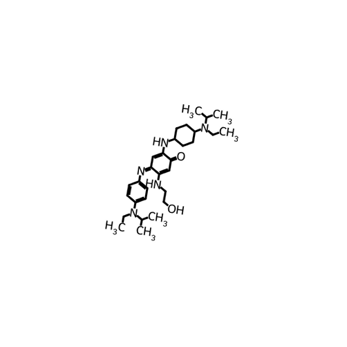 CCN(c1ccc(/N=C2/C=C(NC3CCC(N(CC)C(C)C)CC3)C(=O)C=C2NCCO)cc1)C(C)C